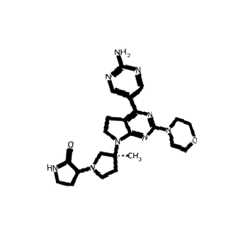 C[C@]1(N2CCc3c(-c4cnc(N)nc4)nc(N4CCOCC4)nc32)CCN(C2CCNC2=O)C1